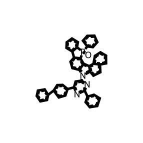 O=P1(c2ccccc2)c2ccccc2-c2ccc3c(c21)c1c2ccccc2ccc1n3-c1cc(-c2ccc(-c3ccccc3)cc2)nc(-c2ccccc2)n1